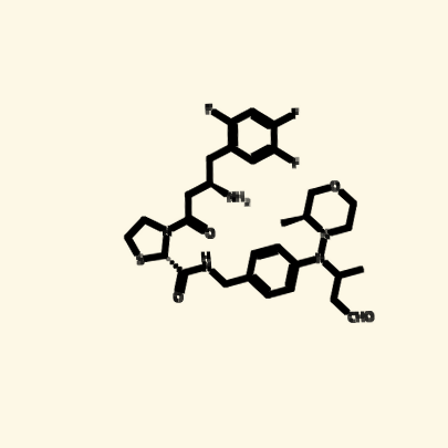 CC(CC=O)N(c1ccc(CNC(=O)[C@@H]2SCCN2C(=O)C[C@H](N)Cc2cc(F)c(F)cc2F)cc1)N1CCOC[C@@H]1C